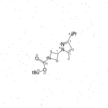 Cc1cc(C(C)C)nn1C1CN(C(=O)OC(C)(C)C)C1